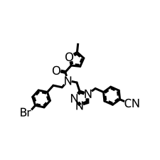 Cc1ccc(C(=O)N(CCc2ccc(Br)cc2)Cc2nncn2Cc2ccc(C#N)cc2)o1